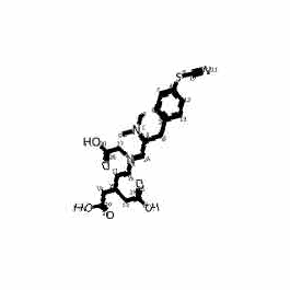 CN(C)C(Cc1ccc(SC#N)cc1)CN(CCC(CC(=O)O)CC(=O)O)CC(=O)O